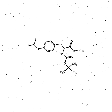 COC(=O)C(Cc1ccc(OC(F)F)cc1)NC(=O)OC(C)(C)C